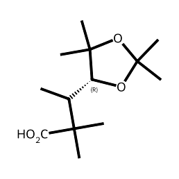 CC([C@H]1OC(C)(C)OC1(C)C)C(C)(C)C(=O)O